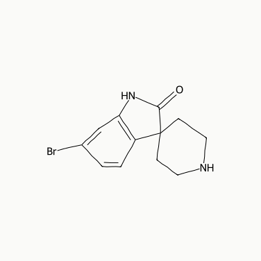 O=C1Nc2cc(Br)ccc2C12CCNCC2